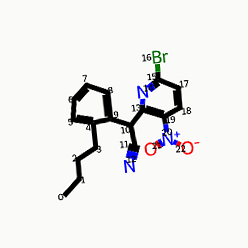 CCCCc1ccccc1C(C#N)c1nc(Br)ccc1[N+](=O)[O-]